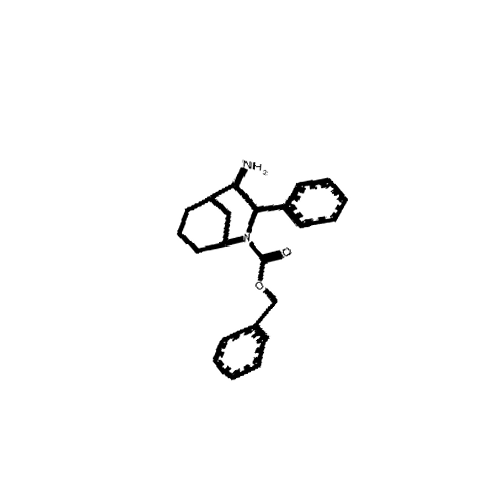 NC1C2CCCC(C2)N(C(=O)OCc2ccccc2)C1c1ccccc1